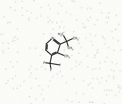 Cc1c(C(F)(F)F)ccnc1C(C)(C)C